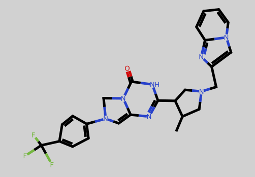 CC1CN(Cc2cn3ccccc3n2)CC1C1=NC2=CN(c3ccc(C(F)(F)F)cc3)CN2C(=O)N1